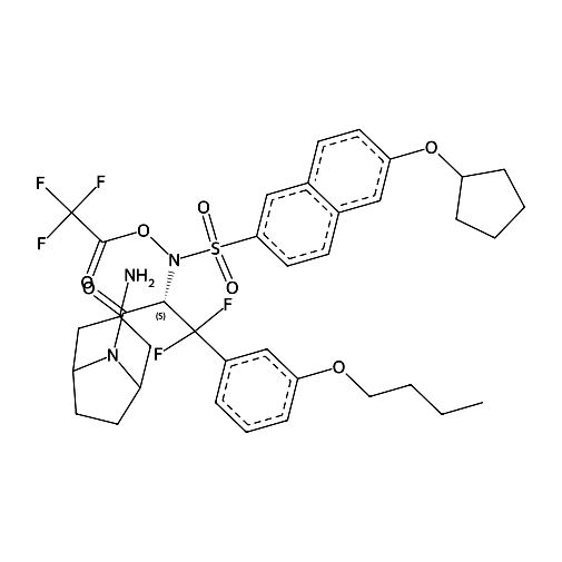 CCCCOc1cccc(C(F)(F)[C@H](C(=O)N2C3CCC2CC(N)C3)N(OC(=O)C(F)(F)F)S(=O)(=O)c2ccc3cc(OC4CCCC4)ccc3c2)c1